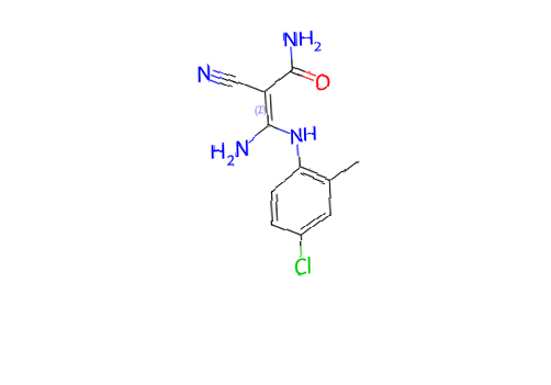 Cc1cc(Cl)ccc1N/C(N)=C(/C#N)C(N)=O